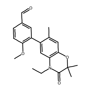 CCN1C(=O)C(C)(C)Oc2cc(C)c(-c3cc(C=O)ccc3OC)cc21